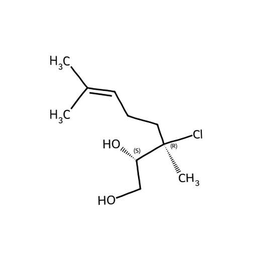 CC(C)=CCC[C@@](C)(Cl)[C@@H](O)CO